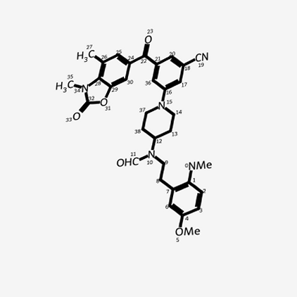 CNc1ccc(OC)cc1CCN(C=O)C1CCN(c2cc(C#N)cc(C(=O)c3cc(C)c4c(c3)oc(=O)n4C)c2)CC1